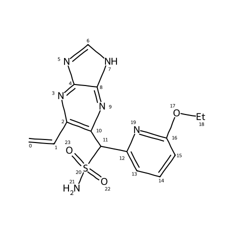 C=Cc1nc2nc[nH]c2nc1C(c1cccc(OCC)n1)S(N)(=O)=O